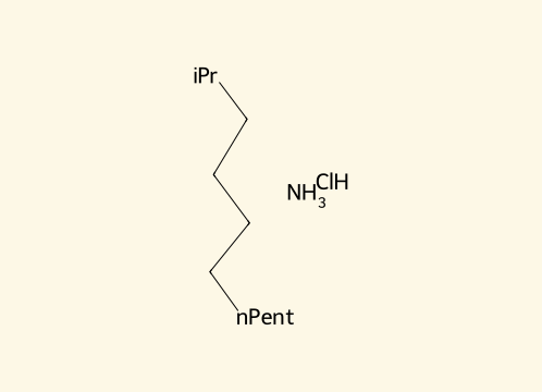 CCCCCCCCCC(C)C.Cl.N